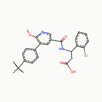 COc1ncc(C(=O)NC(CC(=O)O)c2ccccc2Cl)cc1-c1ccc(C(C)(C)C)cc1